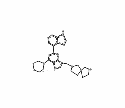 C[C@@H]1COCCN1c1nc(-c2cncc3[nH]ccc23)nc2c(CN3CCC4(CCNC4)C3)csc12